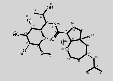 CSC1O[C@H]([C@H](NC(=O)[C@H]2NC[C@@H]3C[C@H](CC(C)C)CCO[C@H]32)[C@@H](C)O)[C@@H](O)C(O)[C@H]1O